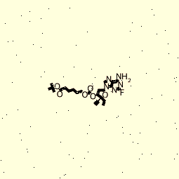 C#C[C@]1(CC)O[C@@H](n2cnc3c(N)nc(F)nc32)C[C@@H]1OC(=O)OCCCCCC(=O)OC(C)(C)C